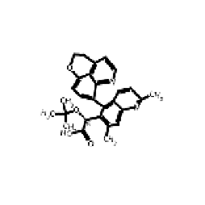 Cc1ccc2c(-c3ccc4c5c(ccnc35)CCO4)c([C@H](OC(C)(C)C)C(=O)O)c(C)cc2n1